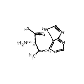 CC(C)[C@H](N)C(=O)O.c1ncc2[nH]cnc2n1